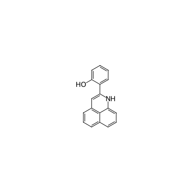 Oc1ccccc1C1=Cc2cccc3cccc(c23)N1